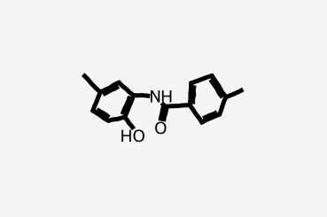 Cc1ccc(C(=O)Nc2cc(C)ccc2O)cc1